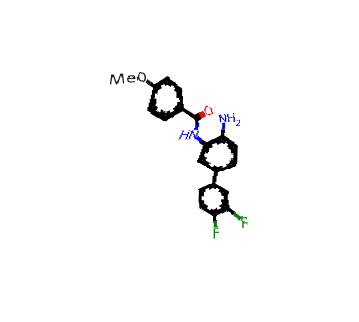 COc1ccc(C(=O)Nc2cc(-c3ccc(F)c(F)c3)ccc2N)cc1